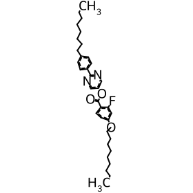 CCCCCCCCCOc1ccc(C(=O)Oc2cnc(-c3ccc(CCCCCCCC)cc3)nc2)c(F)c1